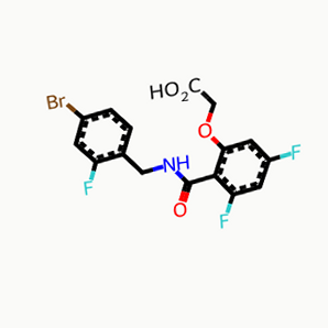 O=C(O)COc1cc(F)cc(F)c1C(=O)NCc1ccc(Br)cc1F